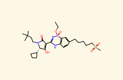 CCOP1(=O)N=C(C2=C(O)[C@H](C3CCC3)N(CCC(C)(C)C)C2=O)Nc2ccc(CCCCCS(C)(=O)=O)cc21